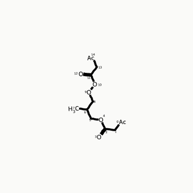 CC(=O)CC(=O)OCC(C)COOC(=O)CC(C)=O